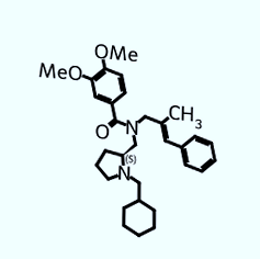 COc1ccc(C(=O)N(CC(C)=Cc2ccccc2)C[C@@H]2CCCN2CC2CCCCC2)cc1OC